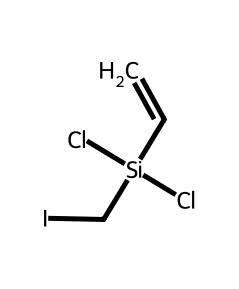 C=C[Si](Cl)(Cl)CI